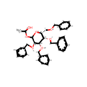 CC(O)OC1O[C@H](COCc2ccccc2)[C@H](OCc2ccccc2)[C@H](OCc2ccccc2)[C@H]1OCc1ccccc1